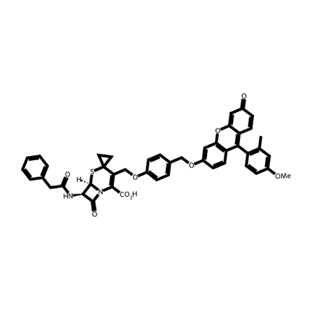 COc1ccc(-c2c3ccc(=O)cc-3oc3cc(OCc4ccc(OCC5=C(C(=O)O)N6C(=O)[C@@H](NC(=O)Cc7ccccc7)[C@H]6SC56CC6)cc4)ccc23)c(C)c1